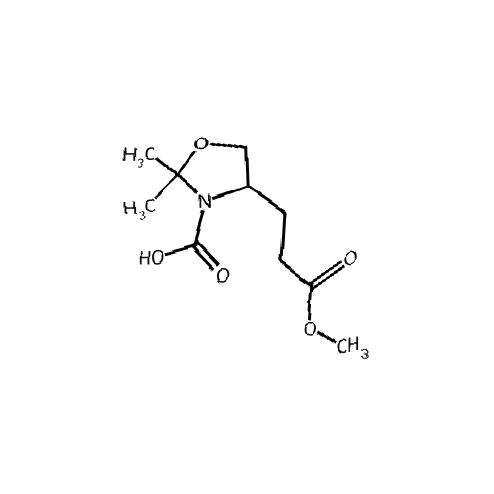 COC(=O)CCC1COC(C)(C)N1C(=O)O